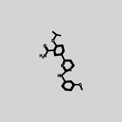 COc1cccc(Nc2nccc(-c3ccc(OC(C)C)c(C(N)=O)c3)n2)c1